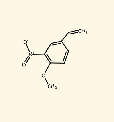 C=[C]c1ccc(OC)c([N+](=O)[O-])c1